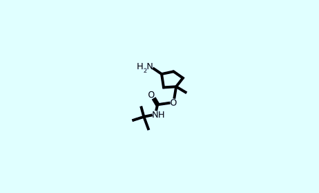 CC(C)(C)NC(=O)OC1(C)CCC(N)C1